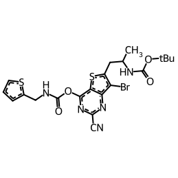 CC(Cc1sc2c(OC(=O)NCc3cccs3)nc(C#N)nc2c1Br)NC(=O)OC(C)(C)C